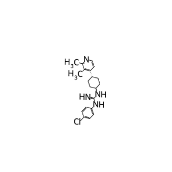 Cc1nccc([C@H]2CC[C@H](NC(=N)Nc3ccc(Cl)cc3)CC2)c1C